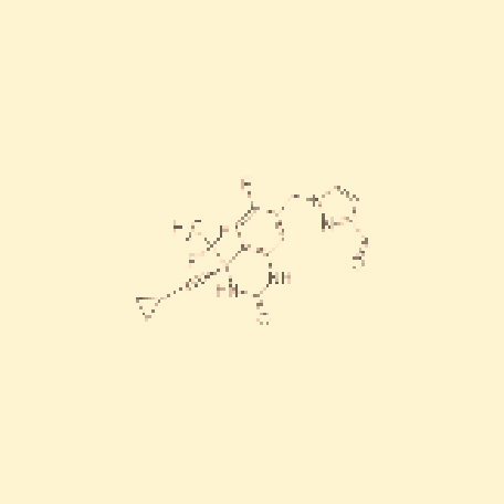 CC(F)(F)[C@@]1(C#CC2CC2)NC(=O)Nc2cc(Cn3ccc(C=O)n3)c(F)cc21